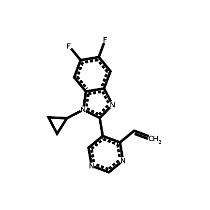 C=Cc1ncncc1-c1nc2cc(F)c(F)cc2n1C1CC1